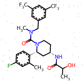 Cc1cc(F)ccc1[C@H]1C[C@@H](NC(=O)C(C)O)CCN1C(=O)N(C)Cc1cc(C(F)(F)F)cc(C(F)(F)F)c1